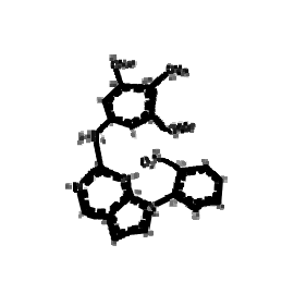 COc1cc(Nc2ncc3ccn(-c4ccccc4[N+](=O)[O-])c3n2)cc(OC)c1OC